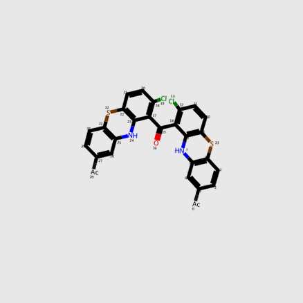 CC(=O)c1ccc2c(c1)Nc1c(ccc(Cl)c1C(=O)c1c(Cl)ccc3c1Nc1cc(C(C)=O)ccc1S3)S2